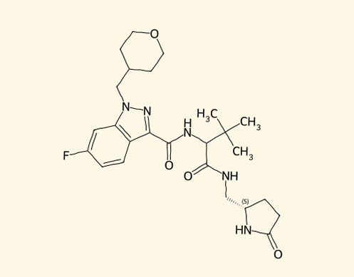 CC(C)(C)C(NC(=O)c1nn(CC2CCOCC2)c2cc(F)ccc12)C(=O)NC[C@@H]1CCC(=O)N1